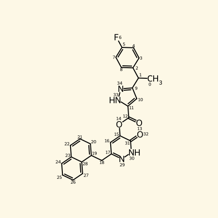 CC(c1ccc(F)cc1)c1cc(C(=O)Oc2cc(Cc3cccc4ccccc34)n[nH]c2=O)[nH]n1